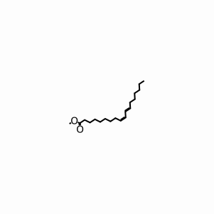 CCCCCC/C=C/C=C\CCCCCCCC(=O)OC